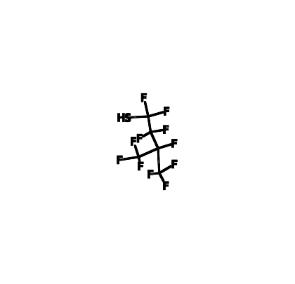 FC(F)(F)C(F)(C(F)(F)F)C(F)(F)C(F)(F)S